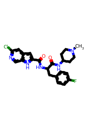 CN1CCC(NC(=O)C(Cc2ccc(F)cc2)NC(=O)c2cc3cc(Cl)ncc3[nH]2)CC1